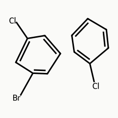 Clc1cccc(Br)c1.Clc1ccccc1